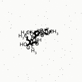 CCCc1c(C(=O)O)c(C)c2c(=O)[nH]c(-c3cc(S(=O)(=O)N4CCN(C)CC4)ccc3OCC)nn12